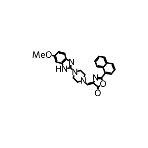 COc1ccc2nc(N3CCN(/C=C4\N=C(c5cccc6ccccc56)OC4=O)CC3)[nH]c2c1